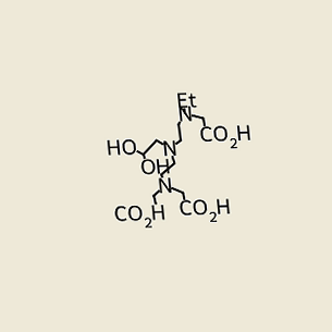 CCN(CCN(CCN(CC(=O)O)CC(=O)O)CC(O)O)CC(=O)O